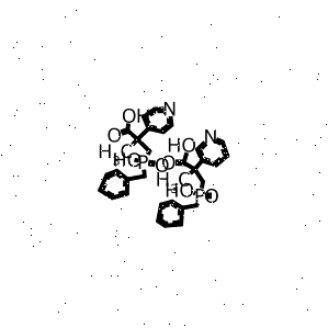 CC(CP(=O)(O)Cc1ccccc1)(C(=O)O)c1cccnc1.CC(CP(=O)(O)Cc1ccccc1)(C(=O)O)c1ccncc1